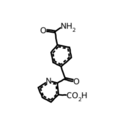 NC(=O)c1ccc(C(=O)c2ncccc2C(=O)O)cc1